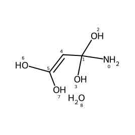 NC(O)(O)C=C(O)O.O